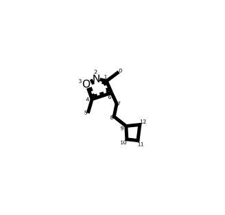 Cc1noc(C)c1CCC1CCC1